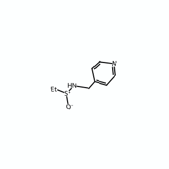 CC[S+]([O-])NCc1ccncc1